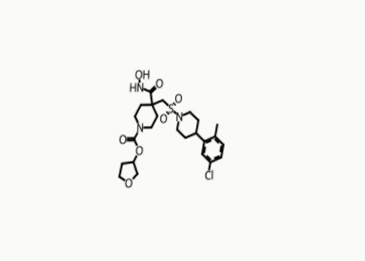 Cc1ccc(Cl)cc1C1CCN(S(=O)(=O)CC2(C(=O)NO)CCN(C(=O)OC3CCOC3)CC2)CC1